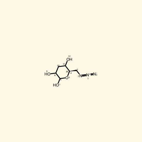 [N-]=[N+]=NC[C@H]1OC(O)C(O)CC1O